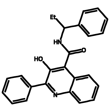 CCC(NC(=O)c1c(O)c(-c2ccccc2)nc2ccccc12)c1ccccc1